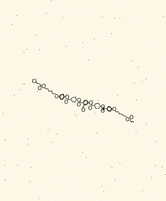 C=CC(=O)OCCCCCCOc1ccc(C(=O)O[C@H]2CC[C@H](C(=O)Oc3ccc(C(=O)O[C@H]4CC[C@H](C(=O)Oc5ccc(OCCCCCCOC(=O)CCCl)cc5)CC4)c(C=O)c3)CC2)cc1